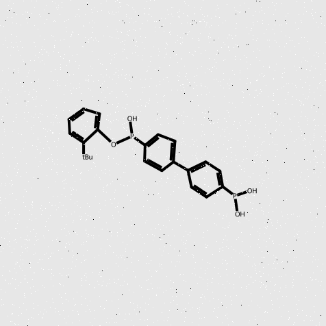 CC(C)(C)c1ccccc1OP(O)c1ccc(-c2ccc(P(O)O)cc2)cc1